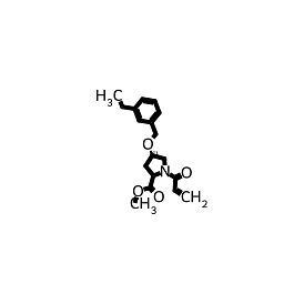 C=CC(=O)N1C[C@@H](OCc2cccc(CC)c2)CC1C(=O)OC